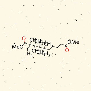 COC(=O)CCCCC(C)(C)C(C)(C)C(C)(C)C(C)(C)C(=O)OC